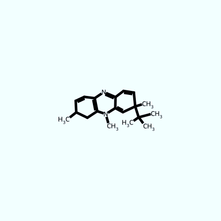 CC1C=CC2=C(C1)N(C)C1=CC(C)(C(C)(C)C)C=CC1=N2